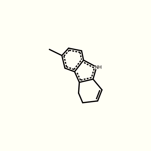 Cc1ccc2[nH]c3c(c2c1)CCC=C3